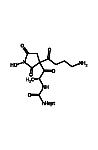 CCCCCCCC(=O)N[C@@H](C)C(=O)C1(C(=O)CCCN)CC(=O)N(O)C1=O